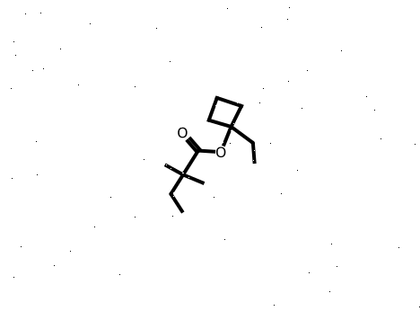 CCC1(OC(=O)C(C)(C)CC)CCC1